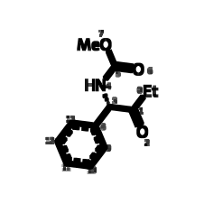 CCC(=O)[C@@H](NC(=O)OC)c1ccccc1